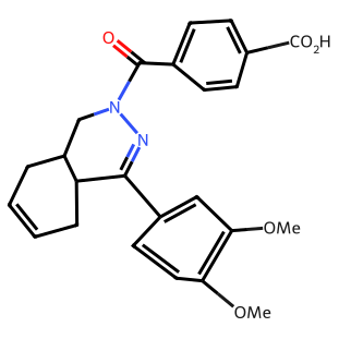 COc1ccc(C2=NN(C(=O)c3ccc(C(=O)O)cc3)CC3CC=CCC23)cc1OC